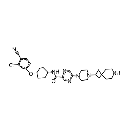 N#Cc1ccc(O[C@H]2CC[C@H](NC(=O)c3cnc(N4CCN(C5CC6(CCNCC6)C5)CC4)cn3)CC2)cc1Cl